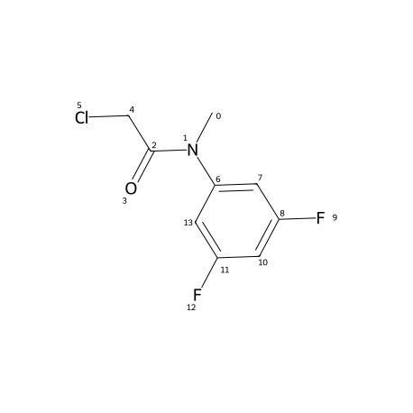 CN(C(=O)CCl)c1cc(F)cc(F)c1